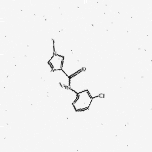 Cn1cnc(C(=O)Nc2cccc(Cl)c2)c1